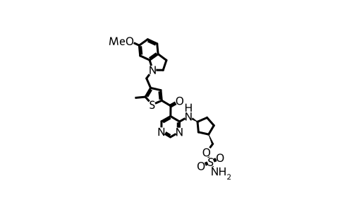 COc1ccc2c(c1)N(Cc1cc(C(=O)c3cncnc3N[C@H]3CC[C@@H](COS(N)(=O)=O)C3)sc1C)CC2